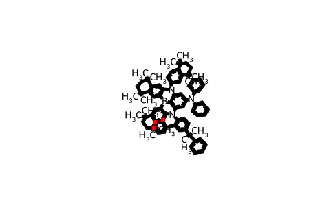 CC1(C)CCC(C)(C)c2cc(N3c4cc5c(cc4B4c6cc7c(cc6N(c6ccc(C(C)(C)c8ccccc8)cc6-c6ccccc6)c6cc(N(c8ccccc8)c8ccccc8)cc3c64)C(C)(C)CCC7(C)C)C(C)(C)CCC5(C)C)ccc21